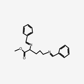 COC(=O)C(CCC/N=C/c1ccccc1)/N=C/c1ccccc1